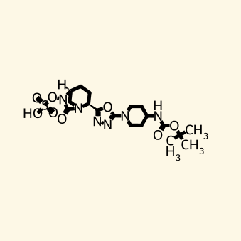 CC(C)(C)OC(=O)NC1CCN(c2nnc([C@@H]3CC[C@H]4CN3C(=O)N4OS(=O)(=O)O)o2)CC1